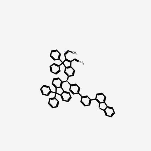 C=CC1=C(/C=C\C)C(c2ccccc2)(c2ccccc2)c2cc(N(c3ccc(-c4cccc(-c5cccc6c5sc5ccccc56)c4)cc3)c3cccc4c3-c3ccccc3C4(c3ccccc3)c3ccccc3)ccc21